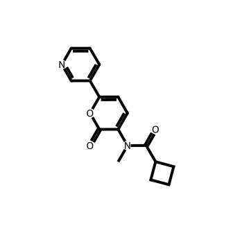 CN(C(=O)C1CCC1)c1ccc(-c2cccnc2)oc1=O